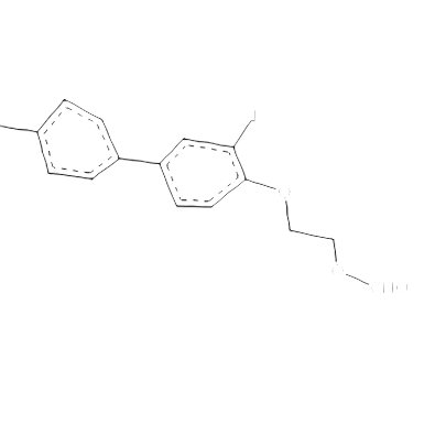 Cc1ccc(-c2ccc(OCCOC=O)c(I)c2)cc1